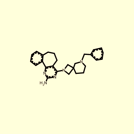 Nc1nc2c(c(N3CC4(CCCN(Cc5ccccc5)C4)C3)n1)CCCc1ccccc1-2